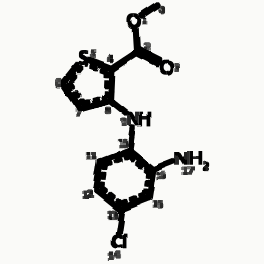 COC(=O)c1sccc1Nc1ccc(Cl)cc1N